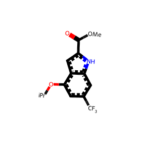 COC(=O)c1cc2c(OC(C)C)cc(C(F)(F)F)cc2[nH]1